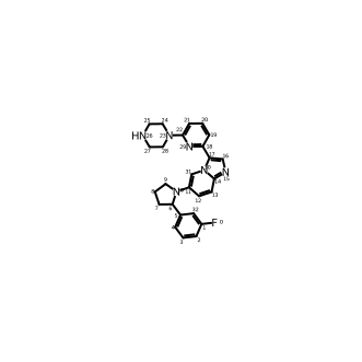 Fc1cccc(C2CCCN2c2ccc3ncc(-c4cccc(N5CCNCC5)n4)n3c2)c1